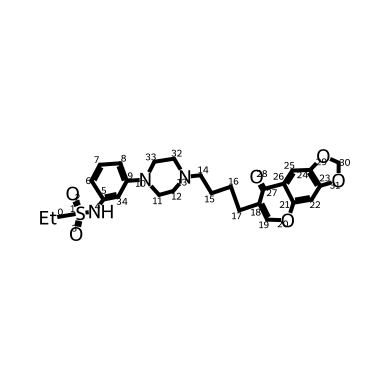 CCS(=O)(=O)Nc1cccc(N2CCN(CCCCc3coc4cc5c(cc4c3=O)OCO5)CC2)c1